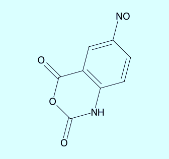 O=Nc1ccc2[nH]c(=O)oc(=O)c2c1